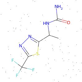 CC(NC(N)=O)c1nnc(C(F)(F)F)s1